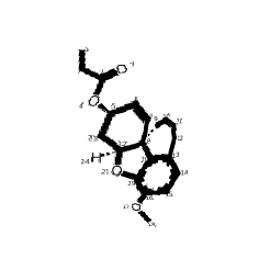 CCC(=O)O[C@H]1C=C[C@@]23CCCCc4ccc(OC)c(c42)O[C@H]3C1